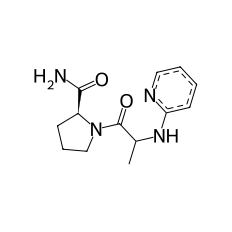 CC(Nc1ccccn1)C(=O)N1CCC[C@H]1C(N)=O